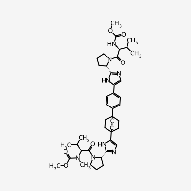 COC(=O)N[C@H](C(=O)N1CCC[C@H]1c1ncc(-c2ccc(C34CCC(c5cnc([C@@H]6CCCN6C(=O)[C@H](C(C)C)N(C)C(=O)OC)[nH]5)(CC3)CC4)cc2)[nH]1)C(C)C